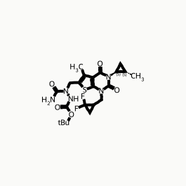 Cc1c(CN(NC(=O)OC(C)(C)C)C(N)=O)sc2c1c(=O)n([C@H]1C[C@@H]1C)c(=O)n2CC1CC1(F)F